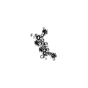 CC(OC(=O)OC(C)N(C(=O)c1ccc(C(F)(F)F)nc1COCc1nnn(C)n1)c1nnnn1C)N(C(=O)c1ccc(C(F)(F)F)nc1COCc1nnn(C)n1)c1nnnn1C